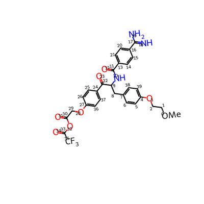 COCCOc1ccc(CC(NC(=O)c2ccc(C(=N)N)cc2)C(=O)c2ccc(OCC(=O)OC(=O)C(F)(F)F)cc2)cc1